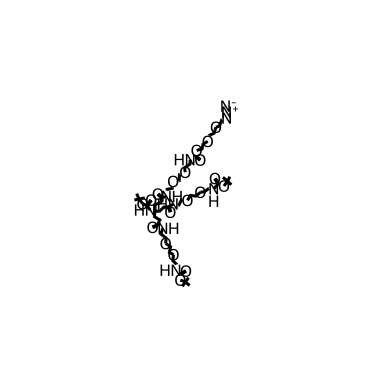 CC(C)(C)OC(=O)NCCOCCOCCNC(=O)CCC(CCC(=O)NCCOCCOCCNC(=O)OCCOCCOCCN=[N+]=[N-])(CCC(=O)NCCOCCOCCNC(=O)OC(C)(C)C)NC(=O)OC(C)(C)C